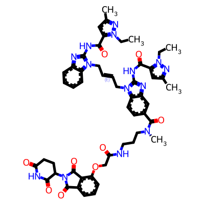 CCn1nc(C)cc1C(=O)Nc1nc2ccccc2n1C/C=C/Cn1c(NC(=O)c2cc(C)nn2CC)nc2cc(C(=O)N(C)CCCNC(=O)COc3cccc4c3C(=O)N(C3CCC(=O)NC3=O)C4=O)ccc21